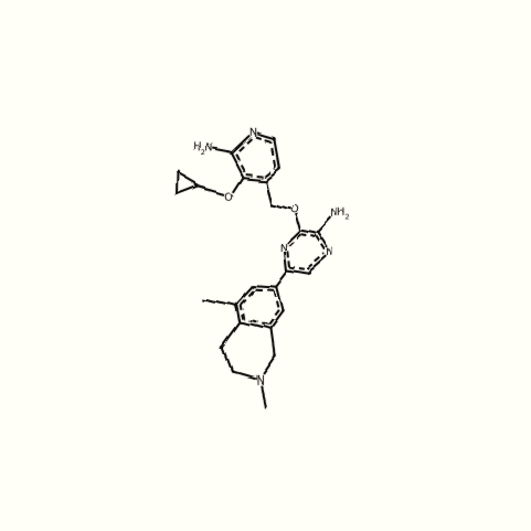 Cc1cc(-c2cnc(N)c(OCc3ccnc(N)c3OC3CC3)n2)cc2c1CCN(C)C2